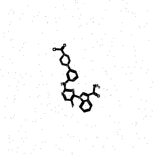 NC(=O)c1cn(-c2nc(Nc3cccc(N4CCN(C(=O)Cl)CC4)c3)ncc2F)c2ccccc12